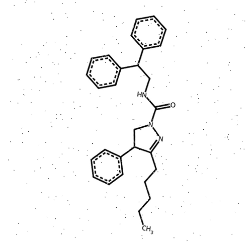 CCCCCC1=NN(C(=O)NCC(c2ccccc2)c2ccccc2)CC1c1ccccc1